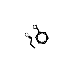 CCC=O.Clc1ccccc1